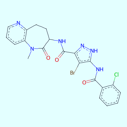 CN1C(=O)C(NC(=O)c2n[nH]c(NC(=O)c3ccccc3Cl)c2Br)CCc2ncccc21